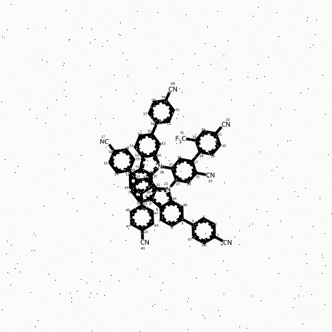 N#Cc1ccc(-c2ccc3c4ccc(-c5ccc(C#N)cc5)cc4n(-c4cc(C#N)c(-c5ccc(C#N)cc5C(F)(F)F)cc4-n4c5cc(-c6ccc(C#N)cc6)ccc5c5ccc(-c6ccc(C#N)cc6)cc54)c3c2)cc1